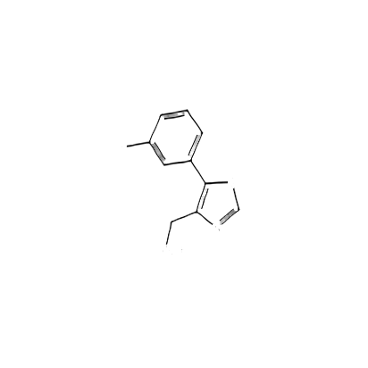 O=C(O)Cc1ncsc1-c1cccc(F)c1